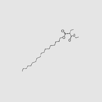 CCCCCCCCCCCCCCCCCCOC(=O)C(CC)C(=O)OCC